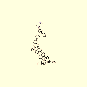 C=C/C(=C\C=C/C)[C@H]1CC(c2ccc(-c3ccc(CN4C(=O)c5ccc6c7ccc8c9c(ccc(c%10ccc(c5c6%10)C4=O)c97)C(=O)N(C(CCCCCC)CCCCCC)C8=O)cc3)cc2)N(c2ccccc2)O1